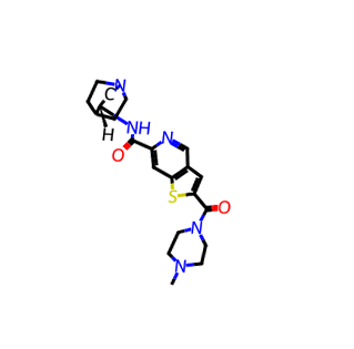 CN1CCN(C(=O)c2cc3cnc(C(=O)N[C@H]4CN5CCC4CC5)cc3s2)CC1